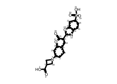 O=C(O)C1CN(c2ccc3cc(-c4nc5ccc(S(=O)(=O)O)cc5o4)c(=O)oc3c2)C1